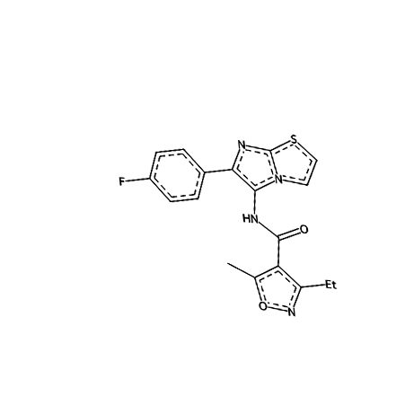 CCc1noc(C)c1C(=O)Nc1c(-c2ccc(F)cc2)nc2sccn12